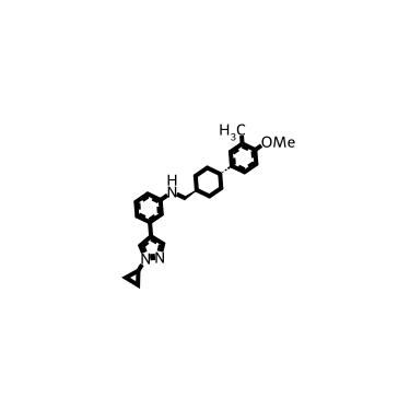 COc1ccc([C@H]2CC[C@H](CNc3cccc(-c4cnn(C5CC5)c4)c3)CC2)cc1C